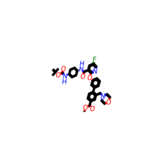 COC(=O)c1ccc(-c2cccc(Oc3ncc(F)cc3C(=O)N[C@H]3CC[C@H](NC(=O)OC(C)(C)C)CC3)c2)c(CN2CCOCC2)c1